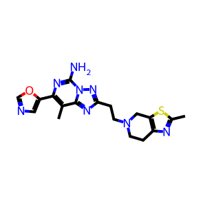 Cc1nc2c(s1)CN(CCc1nc3c(C)c(-c4cnco4)nc(N)n3n1)CC2